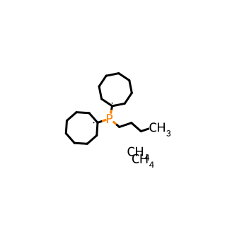 C.C.CCCCP([C]1CCCCCCC1)[C]1CCCCCCC1